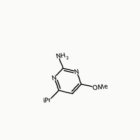 COc1cc(C(C)C)nc(N)n1